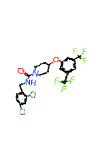 O=C(NCc1ccc(Cl)cc1Cl)N1CCC(Oc2cc(C(F)(F)F)cc(C(F)(F)F)c2)CC1